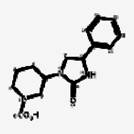 O=C(O)N1CCCC(N2CC(c3ccccc3)NC2=O)C1